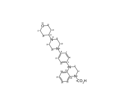 O=C(O)N1CCN(c2ccc(N3CCN(C4CCOCC4)CC3)cc2)c2ccccc21